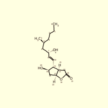 CCCC[C@H](C)C[C@H](O)/C=C/[C@@H]1[C@H]2CC(=O)O[C@H]2C[C@H]1O